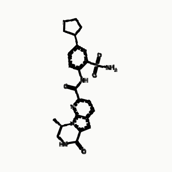 C[C@@H]1CNC(=O)c2cc3ccc(C(=O)Nc4ccc(C5CCCC5)cc4S(N)(=O)=O)nc3n21